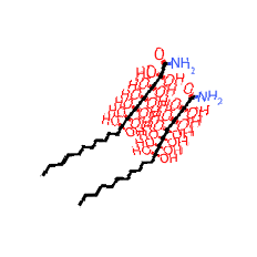 CCCCCCCCCCCC(O)(O)C(O)(O)C(O)(O)C(O)(O)C(O)(O)C(O)(O)C(N)=O.CCCCCCCCCCCC(O)(O)C(O)(O)C(O)(O)C(O)(O)C(O)(O)C(O)(O)C(N)=O